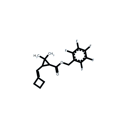 CC1(C)C(C=C2CCC2)C1C(=O)OCc1c(F)c(F)c(F)c(F)c1F